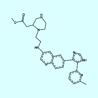 COC(=O)CC1CNCCN1CCNc1cnc2ccc(-c3nc[nH]c3-c3cccc(C)n3)cc2c1